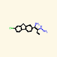 C=C/C(NN)=C(/N)c1ccc2c(c1)Cc1cc(Cl)ccc1-2